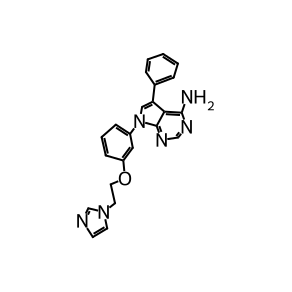 Nc1ncnc2c1c(-c1ccccc1)cn2-c1cccc(OCCn2ccnc2)c1